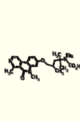 Cc1nccc2c1c(=O)n(C)c1cc(OCC(C)CC(C)(C)N(C(=O)O)C(C)(C)C)ccc21